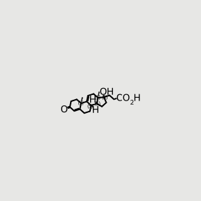 C[C@]12CCC(=O)C=C1CC[C@@H]1C2=CC[C@@]2(C)[C@H]1CC[C@@]2(O)CCC(=O)O